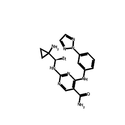 CC[C@@H](Nc1ncc(C(N)=O)c(Nc2cccc(-n3nccn3)c2)n1)C1(N)CC1